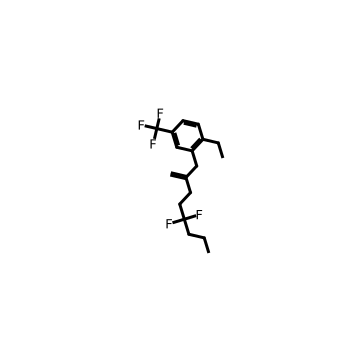 C=C(CCC(F)(F)CCC)Cc1cc(C(F)(F)F)ccc1CC